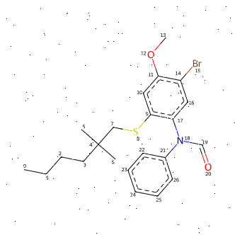 CCCCC(C)(C)CSc1cc(OC)c(Br)cc1N(C=O)c1ccccc1